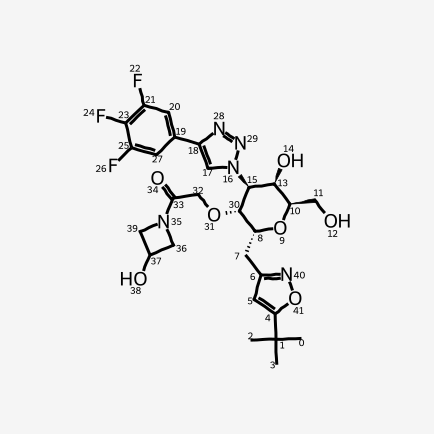 CC(C)(C)c1cc(C[C@H]2O[C@H](CO)[C@H](O)[C@H](n3cc(-c4cc(F)c(F)c(F)c4)nn3)[C@H]2OCC(=O)N2CC(O)C2)no1